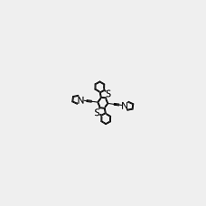 C(#Cn1cccc1)c1c2sc3ccccc3c2c(C#Cn2cccc2)c2sc3ccccc3c12